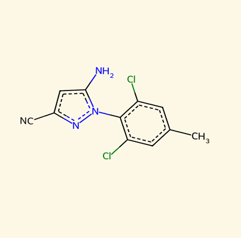 Cc1cc(Cl)c(-n2nc(C#N)cc2N)c(Cl)c1